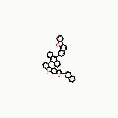 c1ccc2cc(-c3cc4cc5c(cc4o3)sc3cccc(-c4c6ccccc6c(-c6ccc7ccc8c9ccccc9oc8c7c6)c6ccccc46)c35)ccc2c1